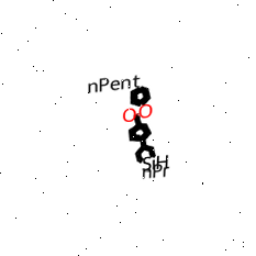 CCCCCc1ccc(OC(=O)c2ccc(C3CC[SiH](CCC)CC3)cc2)cc1